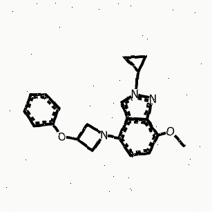 COc1ccc(N2CC(Oc3ccccc3)C2)c2cn(C3CC3)nc12